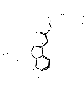 COC(=O)CN1CSc2ccccc21